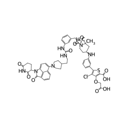 CC1(C)C[C@@H](Nc2cccc(-c3sc(C(=O)O)c(OCC(=O)O)c3Cl)c2)CCN1S(=O)(=O)Cc1cccc(NC(=O)NCCC2CCN(c3ccc4c5c(cccc35)C(=O)N4C3CCC(=O)NC3=O)CC2)c1